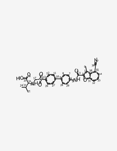 Cc1c(C(=O)Nc2ccc(-c3ccc(S(=O)(=O)CNC(C(=O)O)C(C)C)cc3)cc2)oc2cccc(C#N)c12